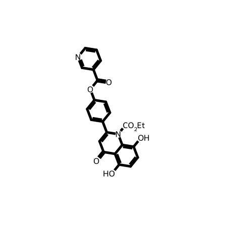 CCOC(=O)n1c(-c2ccc(OC(=O)c3cccnc3)cc2)cc(=O)c2c(O)ccc(O)c21